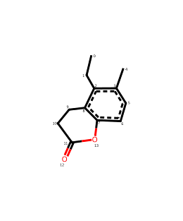 CCc1c(C)ccc2c1CCC(=O)O2